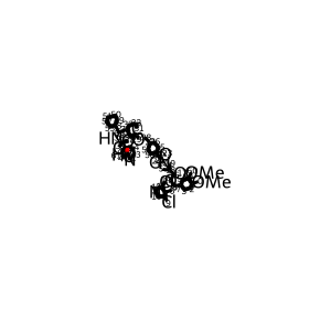 COc1ccc([C@H](Cc2c(Cl)cncc2Cl)OC(=O)C2CN(S(=O)(=O)c3ccc(COc4cccc([C@@H](NC(=O)O[C@H]5CN6CCC5CC6)c5ccccc5)c4)cc3)C2)cc1OC